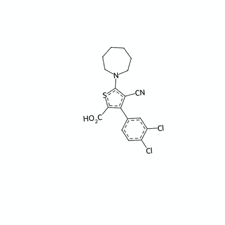 N#Cc1c(N2CCCCCC2)sc(C(=O)O)c1-c1ccc(Cl)c(Cl)c1